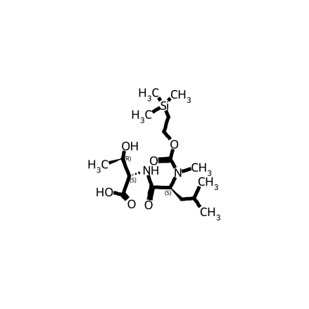 CC(C)C[C@@H](C(=O)N[C@H](C(=O)O)[C@@H](C)O)N(C)C(=O)OCC[Si](C)(C)C